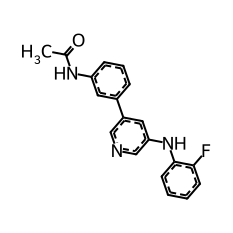 CC(=O)Nc1cccc(-c2cncc(Nc3ccccc3F)c2)c1